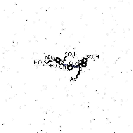 CCCCN(CCCS(=O)(=O)O)c1ccc2c(c1)C(C)(C)C(/C=C/C1=C(Cl)C(=C/C=C3/N(CCCCCC(C)=O)c4ccc5cc(S(=O)(=O)O)ccc5c4C3(C)C)/CCC1)=[N+]2CCCS(=O)(=O)O